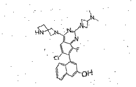 CN(C)C1CN(c2nc(N3CC4(CCN4)C3)c3cc(Cl)c(-c4cc(O)cc5ccccc45)c(F)c3n2)C1